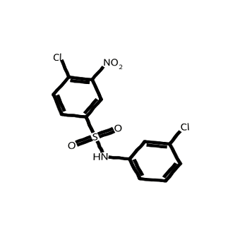 O=[N+]([O-])c1cc(S(=O)(=O)Nc2cccc(Cl)c2)ccc1Cl